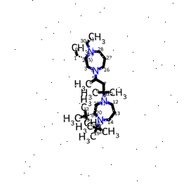 CC[C@H]1CN(C(C)CC(C)(C)N2CCCN(C(C)(C)C)[C@H](C(C)(C)C)C2)CCCN1CC